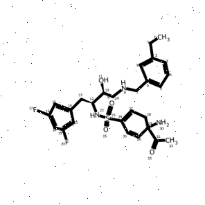 CCc1cccc(CNC[C@H](O)[C@H](Cc2cc(F)cc(F)c2)NS(=O)(=O)C2=CCC(N)(C(C)=O)C=C2)c1